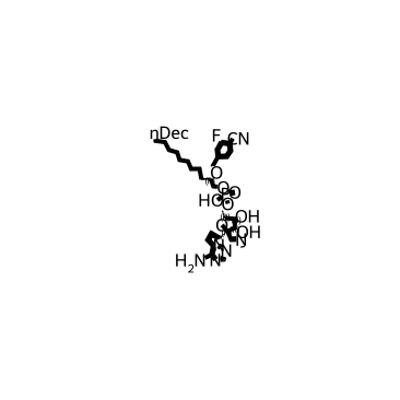 CCCCCCCCCCCCCCCCCCC[C@H](COP(=O)(O)OC[C@H]1O[C@@](C=NC)(c2ccc3c(N)ncnn23)[C@H](O)[C@@H]1O)OCc1ccc(C#N)c(F)c1